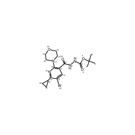 CC(C)(C)OC(=O)NNC(=O)c1cc(Br)c(C2CC2)nc1N1CCOCC1